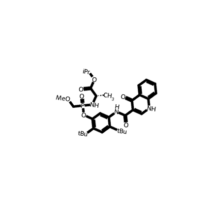 COCP(=O)(N[C@@H](C)C(=O)OC(C)C)Oc1cc(NC(=O)c2c[nH]c3ccccc3c2=O)c(C(C)(C)C)cc1C(C)(C)C